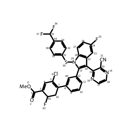 COC(=O)C1=CC(Cl)=C(c2cccc(-c3c(-c4nccnc4C#N)c4cc(F)ccc4n3Sc3ccc(C(F)F)cc3)c2)CC1F